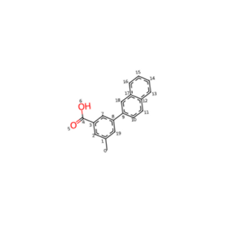 Cc1cc(C(=O)O)cc(-c2ccc3ccccc3c2)c1